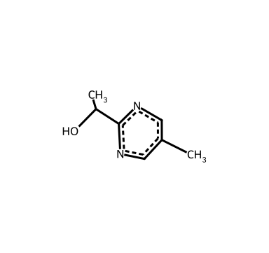 Cc1cnc(C(C)O)nc1